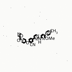 COc1nc(Nc2nccc(-c3ccc(OC4CCN(C(=O)c5cnco5)CC4)c(C#N)c3)n2)ccc1N1CCN(C)CC1